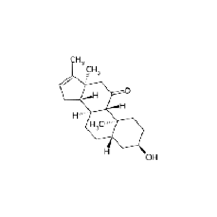 CC1=CC[C@H]2[C@@H]3CC[C@H]4C[C@H](O)CC[C@]4(C)[C@H]3C(=O)C[C@]12C